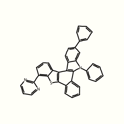 c1ccc(-c2ccc3c4c5c6cccc(-c7ncccn7)c6sc5c5ccccc5c4n(-c4ccccc4)c3c2)cc1